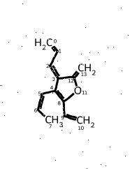 C=C/C=c1/c(/C=C\C)c(C=C)oc1=C